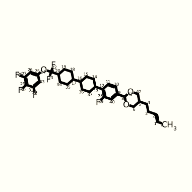 C/C=C/CCC1COC(c2ccc(C3CCC(C4CCC(C(F)(F)Oc5cc(F)c(F)c(F)c5)CC4)CC3)c(F)c2)OC1